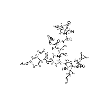 C=C[C@@H]1C[C@]1(NC(=O)[C@@H]1C[C@@H](Oc2nccc3cc(OC)ccc23)CN1C(=O)[C@H](CCC(=O)N1C[C@@H]2CC[C@H]1C(=O)O2)NC(=O)OC(C)(C)C)C(=O)NS(=O)(=O)C1CC1